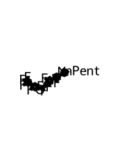 CCCCCc1ccc(-c2ccc(-c3cc(F)c(/C=C/C(F)(F)Oc4ccc(-c5cc(F)c(F)c(F)c5)c(F)c4)c(F)c3)c(F)c2)nc1